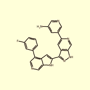 Nc1cncc(-c2cc3c(-c4cc5c(-c6cccc(F)c6)cncc5[nH]4)n[nH]c3cn2)c1